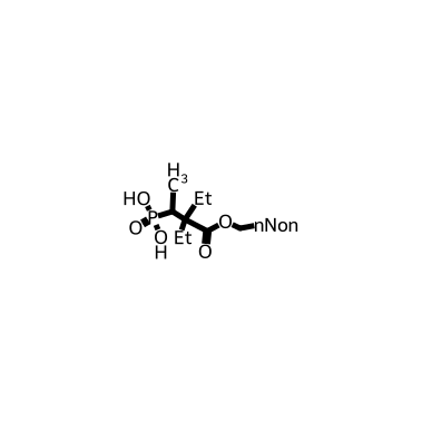 CCCCCCCCCCOC(=O)C(CC)(CC)C(C)P(=O)(O)O